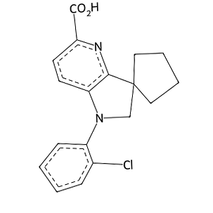 O=C(O)c1ccc2c(n1)C1(CCCC1)CN2c1ccccc1Cl